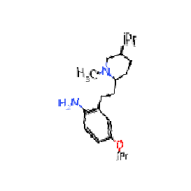 CC(C)Oc1ccc(N)c(CCC2CCC(C(C)C)CN2C)c1